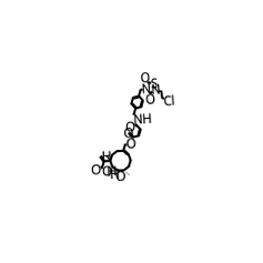 C=C1C(=O)O[C@H]2[C@H]1CC/C(COC(=O)/C=C\C(=O)NCc1ccc(Cn3c(=O)sn(CCCl)c3=O)cc1)=C\CC[C@@]1(C)O[C@@H]21